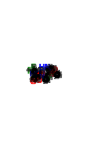 COC(=O)N[C@H](C(=O)Nc1cccc(F)c1CC[C@H]1CNC[C@@H](C)N1S(=O)(=O)c1ccccc1)C1(c2ccc(F)c(F)c2)CCOCC1